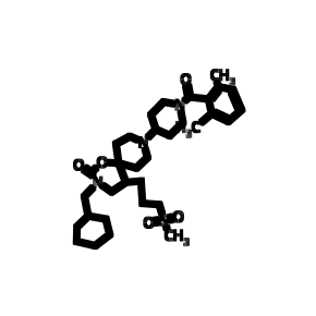 Cc1cccc(C)c1C(=O)N1CCC(N2CCC3(CC2)OC(=O)N(CC2CCCCC2)CC3CCCS(C)(=O)=O)CC1